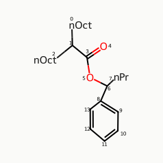 CCCCCCCCC(CCCCCCCC)C(=O)OC(CCC)c1ccccc1